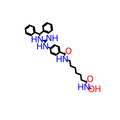 N=C(Nc1ccc(C(=O)NCCCCCCC(=O)NO)cc1)NC(c1ccccc1)c1ccccc1